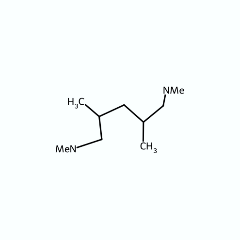 CNCC(C)CC(C)CNC